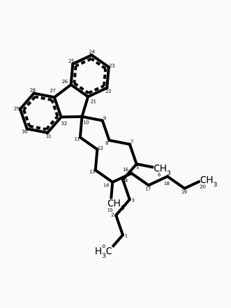 CCCCCC(C)CCCC1(CCCC(C)CCCCC)c2ccccc2-c2ccccc21